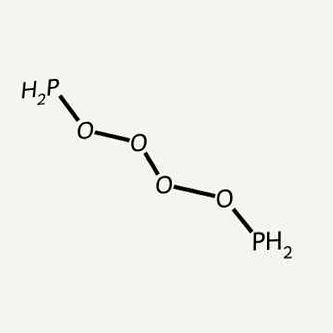 POOOOP